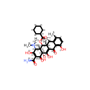 Cc1ccc(O)c2c1[C@H](C)[C@@H]1C(=C(O)[C@@]3(O)C(=O)C(C(N)=O)=C(O)[C@@H](N(C)C)[C@@H]3[C@H]1OC(=O)C1CCCCC1)C2=O